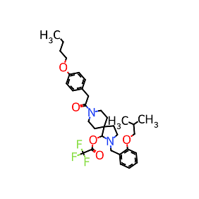 CCCCOc1ccc(CC(=O)N2CCC3(CC2)CCN(Cc2ccccc2OCC(C)C)C3OC(=O)C(F)(F)F)cc1